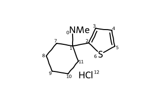 CNC1(c2cccs2)CCCCC1.Cl